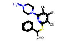 CCc1c(C#N)c(SC([C]=O)c2ccccc2)nc(N2CCN(N)CC2)c1C#N